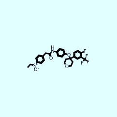 CC[S+]([O-])c1ccc(CC(=O)Nc2ccc(OC3(c4ccc(F)c(C(F)(F)F)c4)CCOCC3)cc2)cc1